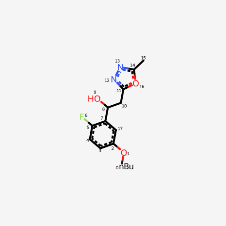 CCCCOc1ccc(F)c(C(O)Cc2nnc(C)o2)c1